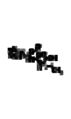 CCC[C@H](NC(=O)N[C@@H](CCc1nnn[nH]1)OC=O)C(=O)O